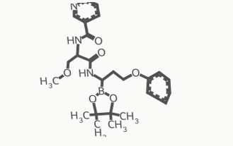 COCC(NC(=O)c1cccnc1)C(=O)NC(CCOc1ccccc1)B1OC(C)(C)C(C)(C)O1